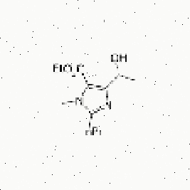 CCCc1nc(C(C)O)c(C(=O)OCC)n1C